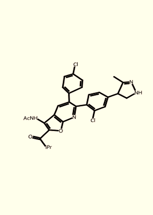 CC(=O)Nc1c(C(=O)C(C)C)oc2nc(-c3ccc(C4CNN=C4C)cc3Cl)c(-c3ccc(Cl)cc3)cc12